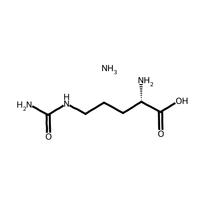 N.NC(=O)NCCC[C@H](N)C(=O)O